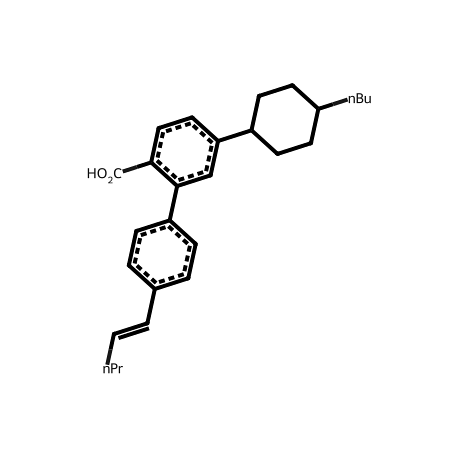 CCC/C=C/c1ccc(-c2cc(C3CCC(CCCC)CC3)ccc2C(=O)O)cc1